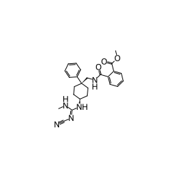 CN/C(=N\C#N)N[C@H]1CC[C@](CNC(=O)c2ccccc2C(=O)OC)(c2ccccc2)CC1